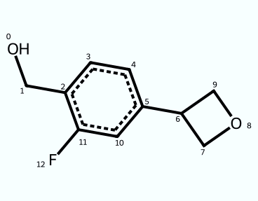 OCc1ccc(C2COC2)cc1F